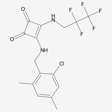 Cc1cc(C)c(CNc2c(NCC(F)(F)C(F)(F)F)c(=O)c2=O)c(Cl)c1